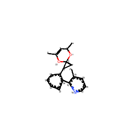 CC1=CC(C)OC2(CC2c2ccccc2-c2ncccc2C)O1